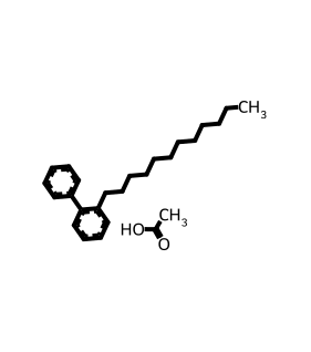 CC(=O)O.CCCCCCCCCCCCc1ccccc1-c1ccccc1